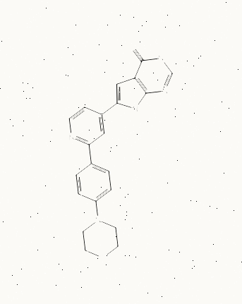 O=c1[nH]cnc2[nH]c(-c3ccnc(-c4ccc(N5CCOCC5)cc4)c3)cc12